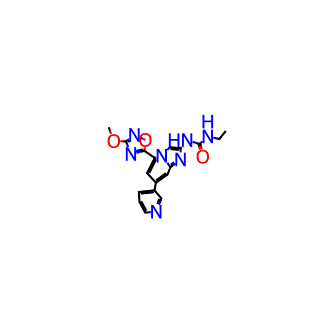 CCNC(=O)Nc1cn2c(-c3nc(OC)no3)cc(-c3cccnc3)cc2n1